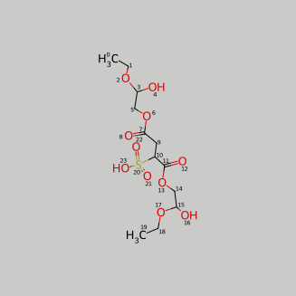 CCOC(O)COC(=O)CC(C(=O)OCC(O)OCC)S(=O)(=O)O